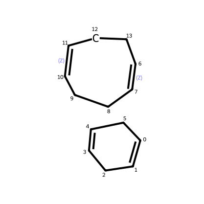 C1=CCC=CC1.C1=C\CC/C=C\CC/1